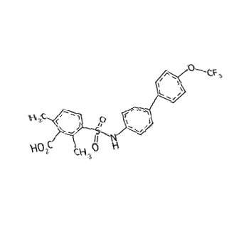 Cc1ccc(S(=O)(=O)Nc2ccc(-c3ccc(OC(F)(F)F)cc3)cc2)c(C)c1C(=O)O